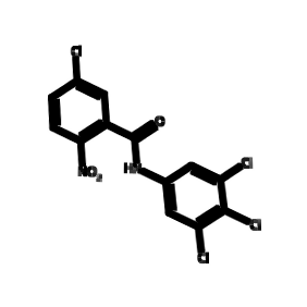 O=C(Nc1cc(Cl)c(Cl)c(Cl)c1)c1cc(Cl)ccc1[N+](=O)[O-]